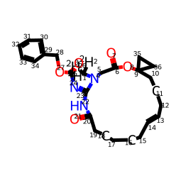 [2H]C([2H])([2H])N1CC(=O)OC2(CCC/C=C/CCCCCC(=O)N/C1=N/C(=O)OCc1ccccc1)CC2